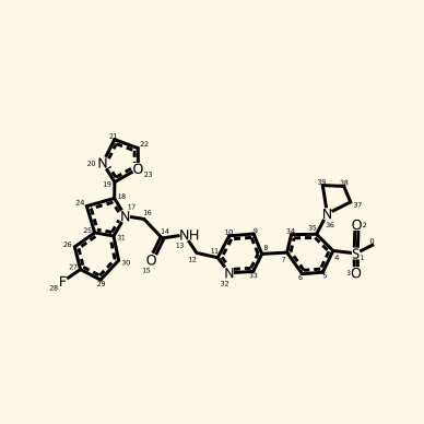 CS(=O)(=O)c1ccc(-c2ccc(CNC(=O)Cn3c(-c4ncco4)cc4cc(F)ccc43)nc2)cc1N1CCC1